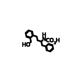 O=C(O)NC(CCc1ccccc1CO)Cc1ccccc1